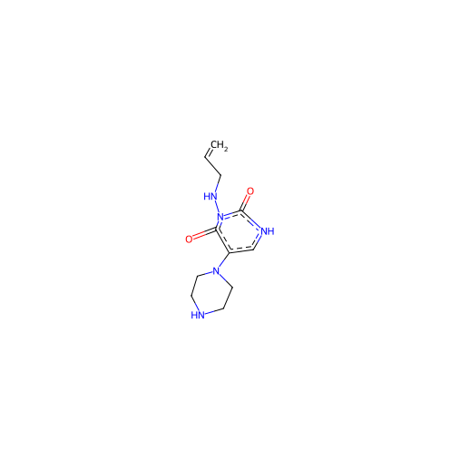 C=CCNn1c(=O)[nH]cc(N2CCNCC2)c1=O